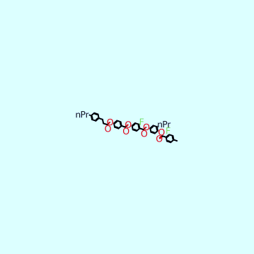 CCCc1ccc(CCC(=O)Oc2ccc(C(=O)Oc3ccc(C(=O)Oc4ccc(OC(=O)c5ccc(C)cc5F)c(CCC)c4)c(F)c3)cc2)cc1